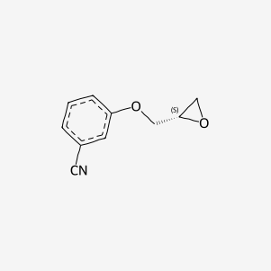 N#Cc1cccc(OC[C@@H]2CO2)c1